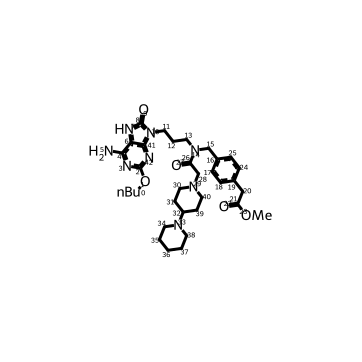 CCCCOc1nc(N)c2[nH]c(=O)n(CCCN(Cc3ccc(CC(=O)OC)cc3)C(=O)CN3CCC(N4CCCCC4)CC3)c2n1